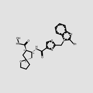 CC(C)c1nc2ccccc2n1Cc1nc(C(=O)N[C@@H]2C[C@@]3(CCCO3)C[C@H]2C(=O)NO)cs1